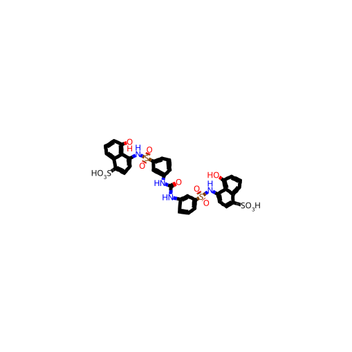 O=C(Nc1cccc(S(=O)(=O)Nc2ccc(S(=O)(=O)O)c3cccc(O)c23)c1)Nc1cccc(S(=O)(=O)Nc2ccc(S(=O)(=O)O)c3cccc(O)c23)c1